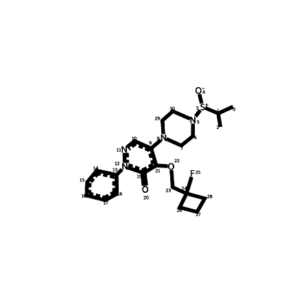 CC(C)[S+]([O-])N1CCN(c2cnn(-c3ccccc3)c(=O)c2OCC2(F)CCC2)CC1